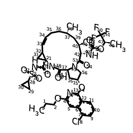 CCCOc1cc2c(Cl)cccc2c(O[C@@H]2C[C@H]3C(=O)N[C@]4(C(=O)NS(=O)(=O)C5CC5)CC4/C=C\CC[C@H](C)C[C@@H](C)[C@H](NC(=O)O[C@H](C)C(F)(F)F)C(=O)N3C2)n1